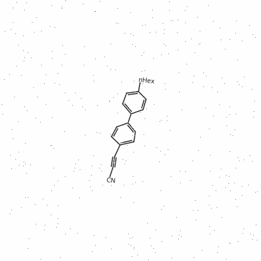 CCCCCCc1ccc(-c2ccc(C#CC#N)cc2)cc1